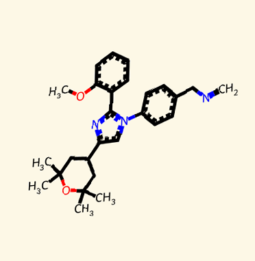 C=NCc1ccc(-n2cc(C3CC(C)(C)OC(C)(C)C3)nc2-c2ccccc2OC)cc1